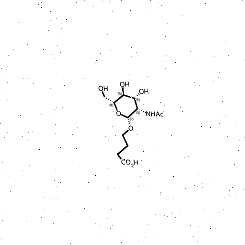 CC(=O)N[C@@H]1[C@H](OCCCC(=O)O)O[C@H](CO)[C@@H](O)[C@@H]1O